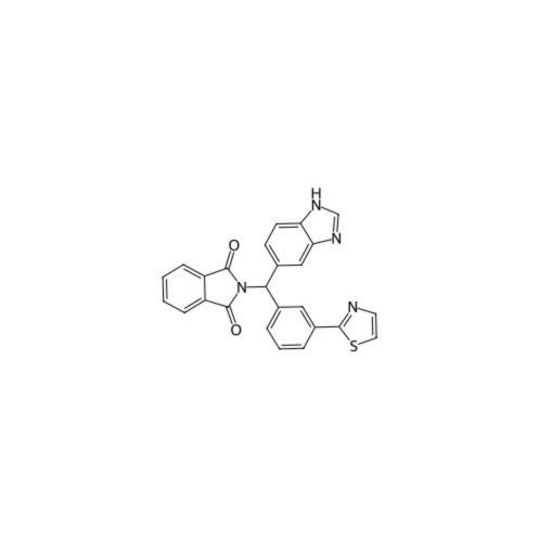 O=C1c2ccccc2C(=O)N1C(c1cccc(-c2nccs2)c1)c1ccc2[nH]cnc2c1